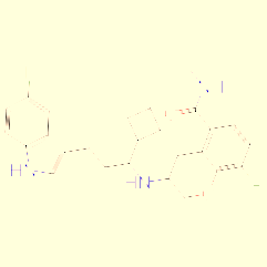 CNC(=O)c1ccc(F)c2c1CC(NC(CCc1c[nH]c3ccc(F)cc13)C1CCC1)CO2